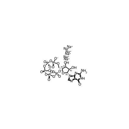 Nc1nc2c(ncn2[C@@H]2O[C@H](COP(=O)([O-])OP(=O)([O-])OP(=O)([O-])OP(=O)([O-])OP(=O)([O-])[O-])[C@@H](O)[C@H]2O)c(=O)[nH]1.[Na+].[Na+].[Na+].[Na+].[Na+].[Na+]